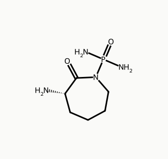 N[C@H]1CCCCN(P(N)(N)=O)C1=O